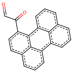 O=[C]C(=O)c1ccc2cccc3c4cccc5cccc(c1c23)c54